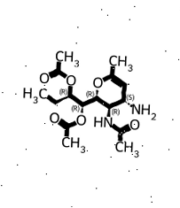 CC[C@@H](OC(C)=O)[C@@H](OC(C)=O)[C@@H]1OC(C)=C[C@H](N)[C@H]1NC(C)=O